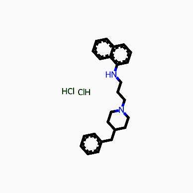 Cl.Cl.c1ccc(CC2CCN(CCCNc3cccc4ccccc34)CC2)cc1